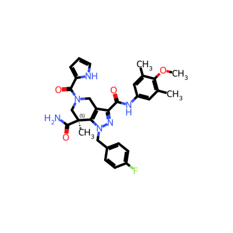 COc1c(C)cc(NC(=O)c2nn(Cc3ccc(F)cc3)c3c2CN(C(=O)c2ccc[nH]2)C[C@]3(C)C(N)=O)cc1C